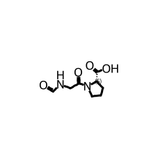 O=CNCC(=O)N1CCC[C@H]1C(=O)O